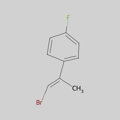 C/C(=C\Br)c1ccc(F)cc1